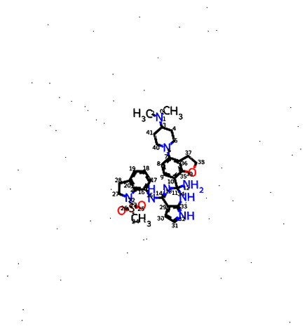 CN(C)C1CCN(c2ccc(C3(N)N=C(Nc4cccc5c4N(S(C)(=O)=O)CC5)c4cc[nH]c4N3)c3c2CCO3)CC1